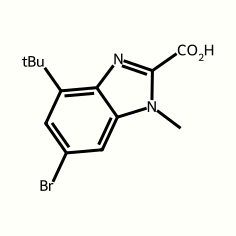 Cn1c(C(=O)O)nc2c(C(C)(C)C)cc(Br)cc21